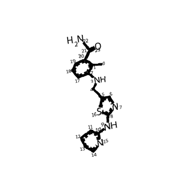 Cc1c(NCc2cnc(Nc3ccccn3)s2)cccc1C(N)=O